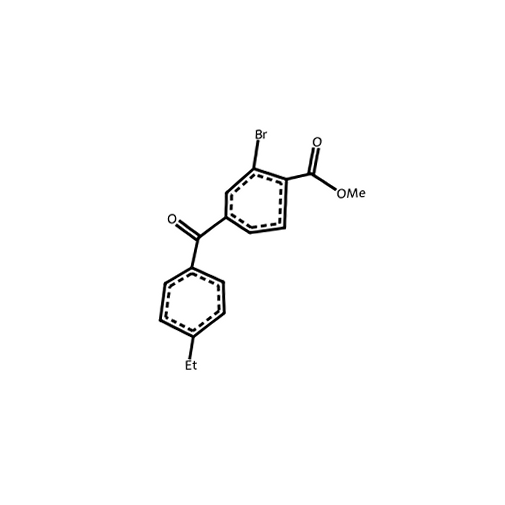 CCc1ccc(C(=O)c2ccc(C(=O)OC)c(Br)c2)cc1